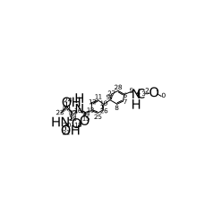 COCCNCc1ccc(-c2ccc(C(=O)N[C@H](C(=O)NO)[C@@H](C)O)cc2)cc1